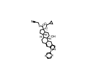 C[C@]12Cc3cnn(-c4cnccn4)c3C=C1CC[C@@H]1[C@@H]2[C@@H](O)C[C@@]2(C)[C@H]1CC[C@]2(OC(=O)C1CC1)C(=O)SCC#N